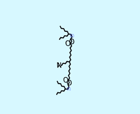 CCCCCC(/C=C\COC(=O)CCCCCCCC(CCCCCCCC(=O)OC/C=C\C(CCCCC)CCCCC)CCCCN(C)C)CCCCC